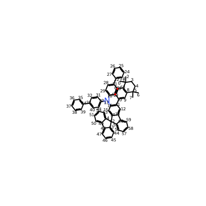 CC1(C)CCC(C)(C)c2cc(-c3cc4c(cc3N(c3ccc(-c5ccccc5)cc3)c3ccc(-c5ccccc5)cc3)C3(c5ccccc5-c5ccccc53)c3ccccc3-4)ccc21